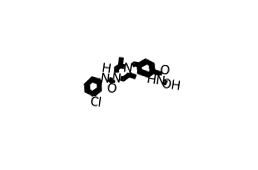 CC1CN(C(=O)Nc2cccc(Cl)c2)CC(C)N1Cc1ccc(C(=O)NO)cc1